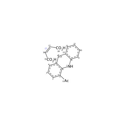 CC(=O)c1cccc2c1Nc1ccccc1S2.O=C(O)/C=C\C(=O)O